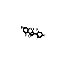 O=C1C(c2c(F)cc(F)cc2F)=C2OC12c1c(F)cc(F)cc1F